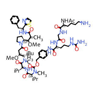 CC[C@H](C)[C@@H]([C@@H](CC(=O)N1CCC[C@H]1[C@H](OC)[C@@H](C)C(=O)N[C@@H](Cc1ccccc1)c1nccs1)OC)N(C)C(=O)[C@@H](NC(=O)[C@H](C(C)C)N(C)C(=O)OCc1ccc(NC(=O)[C@H](CCCNC(N)=O)NC(=O)CNC(=O)[C@H](CCCCN)NC(C)=O)cc1)C(C)C